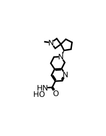 CN1CC2(CCC[C@H]2N2CCc3cc(C(=O)NO)cnc3C2)C1